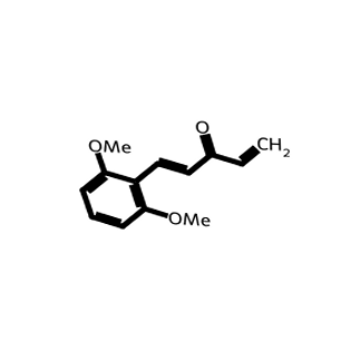 C=CC(=O)C=Cc1c(OC)cccc1OC